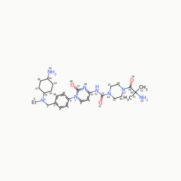 CCN(Cc1ccc(-n2ccc(NC(=O)N3CCN(C(=O)C(C)(C)N)CC3)nc2=O)cc1)C1CCC(N)CC1